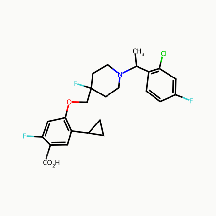 CC(c1ccc(F)cc1Cl)N1CCC(F)(COc2cc(F)c(C(=O)O)cc2C2CC2)CC1